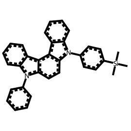 C[Si](C)(C)c1ccc(-n2c3ccccc3c3c4c5ccccc5n(-c5ccccc5)c4ccc32)cc1